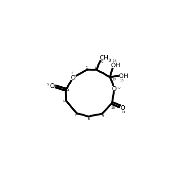 CC1COC(=O)CCCCC(=O)OC1(O)O